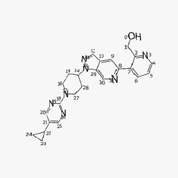 OCc1ncccc1-c1cc2cnn(C3CCN(c4ncc(C5CC5)cn4)CC3)c2cn1